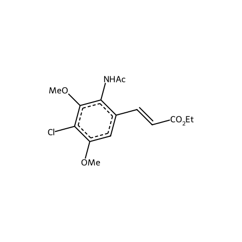 CCOC(=O)/C=C/c1cc(OC)c(Cl)c(OC)c1NC(C)=O